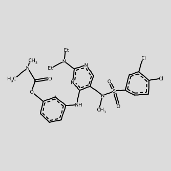 CCN(CC)c1ncc(N(C)S(=O)(=O)c2ccc(Cl)c(Cl)c2)c(Nc2[c]c(OC(=O)N(C)C)ccc2)n1